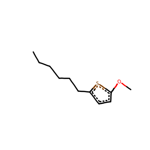 CCCCCCc1ccc(OC)s1